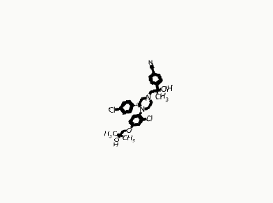 CC(C)(O)COc1ccc(N2CCN(C[C@@](C)(O)c3ccc(C#N)cc3)C[C@H]2c2ccc(Cl)cc2)c(Cl)c1